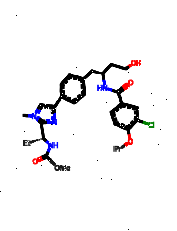 CC[C@@H](NC(=O)OC)c1nc(-c2ccc(C[C@@H](CCO)NC(=O)c3ccc(OC(C)C)c(Cl)c3)cc2)cn1C